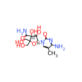 Cc1cn([C@@H]2OC(CO)(CO)[C@](O)(C(N)=O)[C@H]2O)c(=O)nc1N